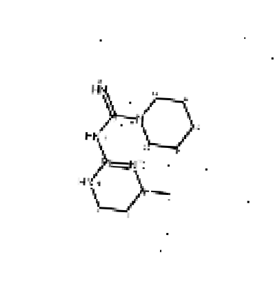 CC1CCNC(NC(=N)N2CCCCC2)=N1